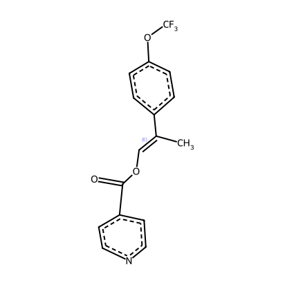 C/C(=C\OC(=O)c1ccncc1)c1ccc(OC(F)(F)F)cc1